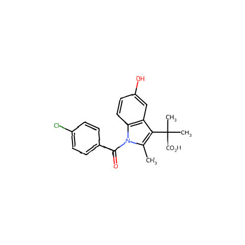 Cc1c(C(C)(C)C(=O)O)c2cc(O)ccc2n1C(=O)c1ccc(Cl)cc1